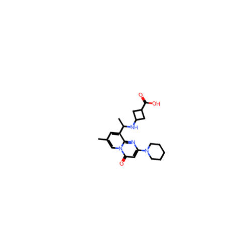 Cc1cc(C(C)NC2CC(C(=O)O)C2)c2nc(N3CCCCC3)cc(=O)n2c1